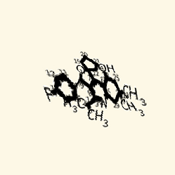 CC(C)c1nc2c(c3c1[C@@H](c1ccc(F)cc1)OC31CCCC1)C(O)CC(C)(C)C2